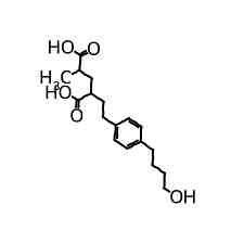 CC(CC(CCc1ccc(CCCCO)cc1)C(=O)O)C(=O)O